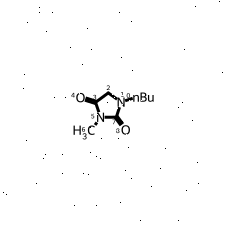 CCCCN1CC(=O)N(C)C1=O